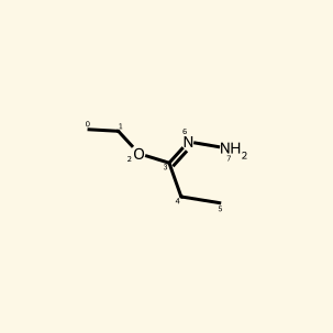 CCOC(CC)=NN